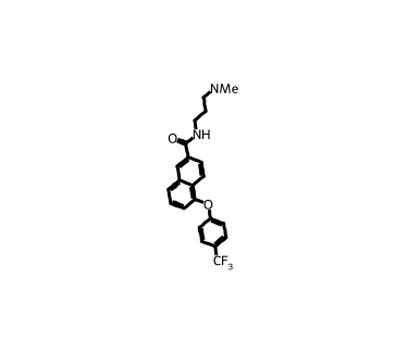 CNCCCNC(=O)c1ccc2c(Oc3ccc(C(F)(F)F)cc3)cccc2c1